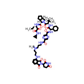 CCC[C@H](NC(=O)[C@@H]1[C@H]2CCC[C@H]2CN1C(=O)[C@@H](NC(=O)[C@@H](NC(=O)c1cnc(C(=O)NCCCN(C)CCCNc2cccc3c2C(=O)N(C2CCC(=O)NC2=O)C3=O)cn1)C1CCCCC1)C(C)(C)C)C(=O)C(=O)NC1CC1